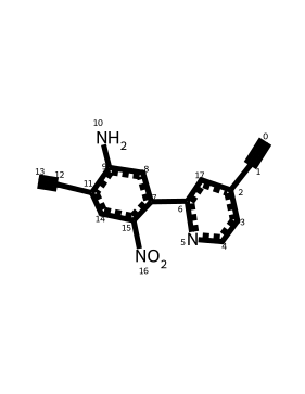 C#Cc1ccnc(-c2cc(N)c(C#C)cc2[N+](=O)[O-])c1